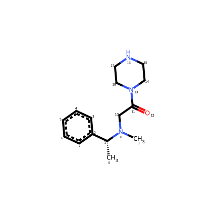 C[C@H](c1ccccc1)N(C)CC(=O)N1CCNCC1